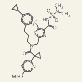 COc1ccc(C2(C(=O)N(CCCc3cccc(C4CC4)c3)Cc3nc(C(=O)NS(=O)(=O)N(C)C)c(C)s3)CC2)nc1